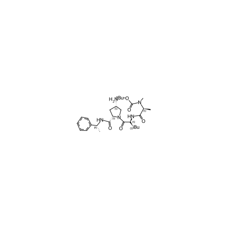 CC[C@H](C)[C@H](NC(=O)[C@H](C)N(C)C(=O)OC(C)(C)C)C(=O)N1C[C@@H](N)C[C@H]1C(=O)N[C@H](C)c1ccccc1